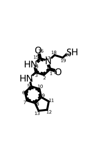 O=c1cc(Nc2ccc3c(c2)CCC3)[nH]c(=O)n1CCS